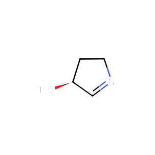 O[C@@H]1C=NCC1